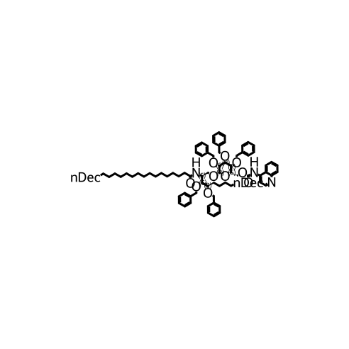 CCCCCCCCCCCCCCCCCCCCCCCCCC(=O)N[C@@H](CO[C@@H]1O[C@@H](COC(=O)Nc2ccnc3ccccc23)[C@@H](OCc2ccccc2)[C@@H](OCc2ccccc2)[C@@H]1OCc1ccccc1)[C@H](OCc1ccccc1)[C@@H](CCCCCCCCCCCCCC)OCc1ccccc1